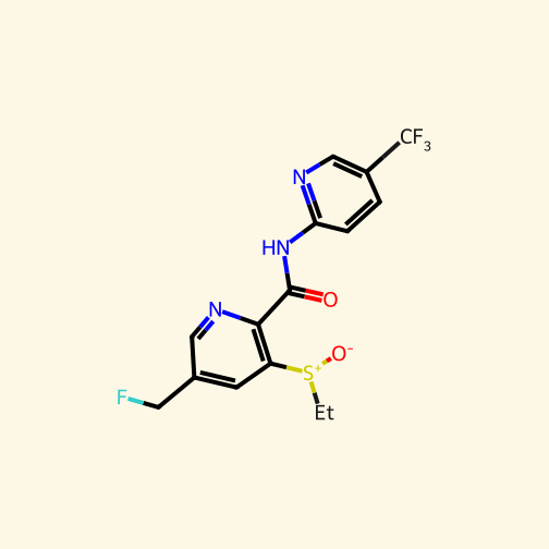 CC[S+]([O-])c1cc(CF)cnc1C(=O)Nc1ccc(C(F)(F)F)cn1